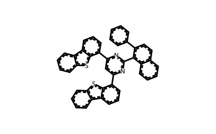 c1ccc(-c2ccc3ccccc3c2-c2nc(-c3cccc4c3sc3ccccc34)cc(-c3cccc4c3sc3ccccc34)n2)cc1